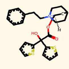 O=C(O[C@@H]1CC2CC[N+]1(CCc1ccccc1)CC2)C(O)(c1cccs1)c1cccs1